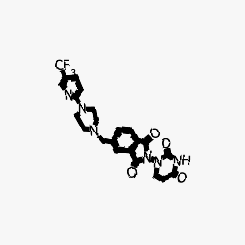 O=C1CCN(N2C(=O)c3ccc(CN4CCN(c5ccc(C(F)(F)F)cn5)CC4)cc3C2=O)C(=O)N1